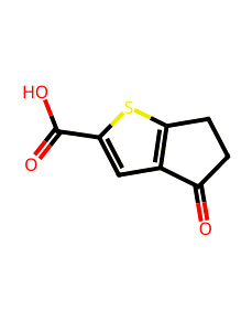 O=C(O)c1cc2c(s1)CCC2=O